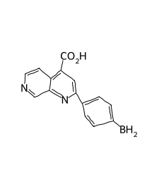 Bc1ccc(-c2cc(C(=O)O)c3ccncc3n2)cc1